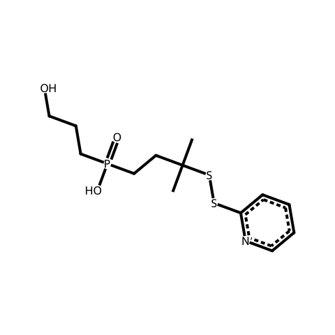 CC(C)(CCP(=O)(O)CCCO)SSc1ccccn1